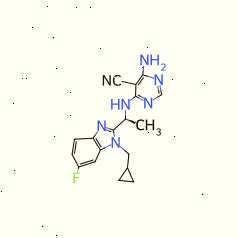 C[C@H](Nc1ncnc(N)c1C#N)c1nc2ccc(F)cc2n1CC1CC1